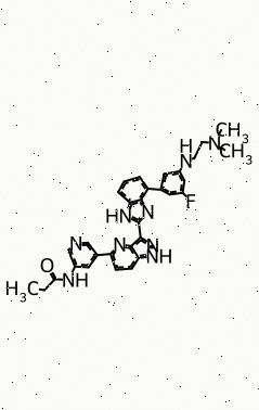 CCC(=O)Nc1cncc(-c2ccc3[nH]nc(-c4nc5c(-c6cc(F)cc(NCCN(C)C)c6)cccc5[nH]4)c3n2)c1